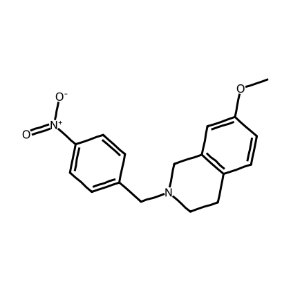 COc1ccc2c(c1)CN(Cc1ccc([N+](=O)[O-])cc1)CC2